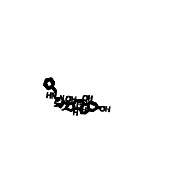 C[C@@H]1C[C@H]2[C@@H]3CCC4=CC(O)C=C[C@]4(C)[C@@]3(F)[C@@H](O)C[C@]2(C)[C@@]1(O)c1csc(NCc2ccccc2)n1